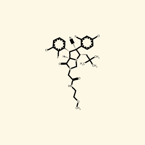 COCCNC(=O)CN1CN2[C@@H](CC(C)(C)C)[C@](C#N)(c3ccc(Cl)cc3F)[C@@H](c3cccc(Cl)c3F)[C@@H]2C1=O